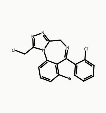 ClCc1nnc2n1-c1cccc(Br)c1C(c1ccccc1Cl)=NC2